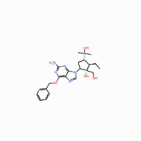 CC[C@@H]1[C@@H]([Si](C)(C)O)C[C@H](n2cnc3c(OCc4ccccc4)nc(N)nc32)[C@]1(O)CO